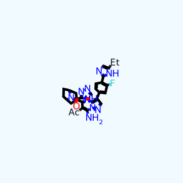 CCc1cnc(-c2ccc(-c3cnn4c(N)c(C(C)=O)c(C5CC6CCC(C5)N6C(=O)c5nnc[nH]5)nc34)cc2F)[nH]1